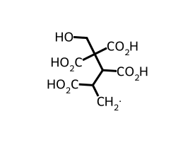 [CH2]C(C(=O)O)C(C(=O)O)C(CO)(C(=O)O)C(=O)O